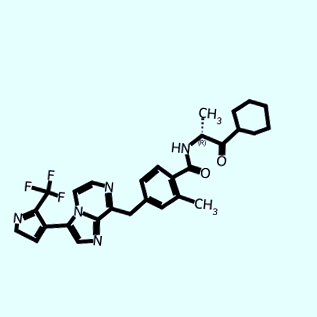 Cc1cc(Cc2nccn3c(C4=CCN=C4C(F)(F)F)cnc23)ccc1C(=O)N[C@H](C)C(=O)C1CCCCC1